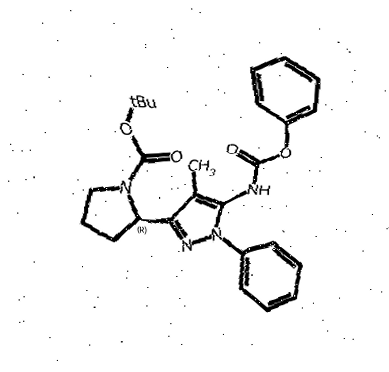 Cc1c([C@H]2CCCN2C(=O)OC(C)(C)C)nn(-c2ccccc2)c1NC(=O)Oc1ccccc1